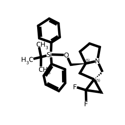 CC(C)(C)[Si](OC[C@@]12CCCN1C[C@@]1(CC1(F)F)C2)(c1ccccc1)c1ccccc1